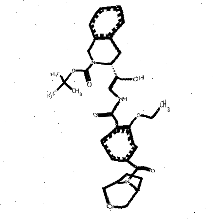 CCOc1cc(C(=O)N2C3CCC2COC3)ccc1C(=O)NCC(O)[C@H]1Cc2ccccc2CN1C(=O)OC(C)(C)C